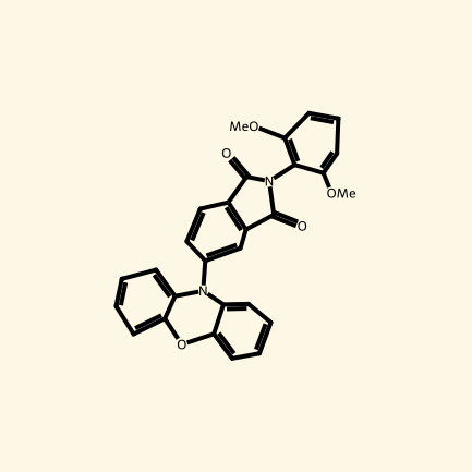 COc1cccc(OC)c1N1C(=O)c2ccc(N3c4ccccc4Oc4ccccc43)cc2C1=O